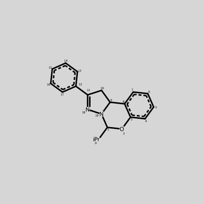 CC(C)C1Oc2ccccc2C2CC(c3ccccc3)=NN21